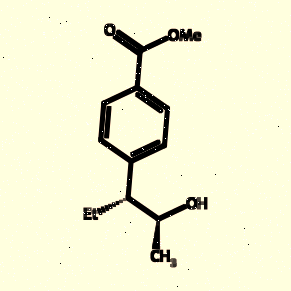 CC[C@H](c1ccc(C(=O)OC)cc1)[C@H](C)O